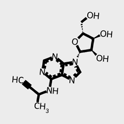 C#CC(C)Nc1ncnc2c1ncn2[C@@H]1O[C@H](CO)[C@@H](O)[C@H]1O